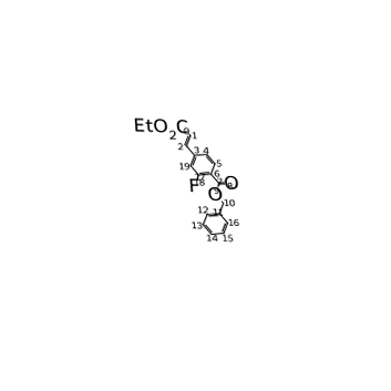 CCOC(=O)/C=C/c1ccc(C(=O)OCc2ccccc2)c(F)c1